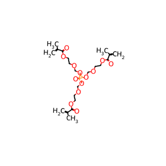 C=C(C)C(=O)OCCOCOP(=O)(OCOCCOC(=O)C(=C)C)OCOCCOC(=O)C(=C)C